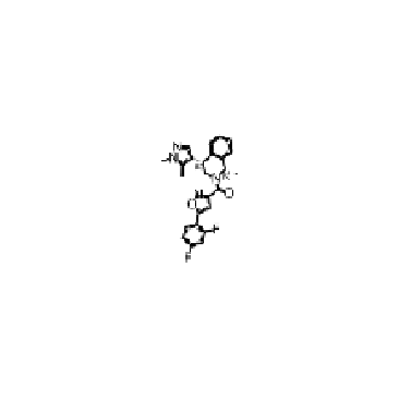 Cc1c([C@H]2CN(C(=O)c3cc(-c4ccc(F)cc4F)on3)[C@@H](C)c3ccccc32)cnn1C